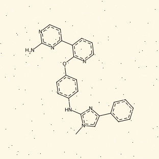 Cn1cc(-c2ccccc2)nc1Nc1ccc(Oc2ncccc2-c2ccnc(N)n2)cc1